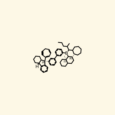 CCCC(C)C(B(c1cccc(-c2cccc([C@]3(C4=CC=CCC#C4)c4ccccc4[C@@H]4CCCCC43)c2)c1)C1[C@H](C)CCC2CCCC[C@]21C)C1CCCCCC1